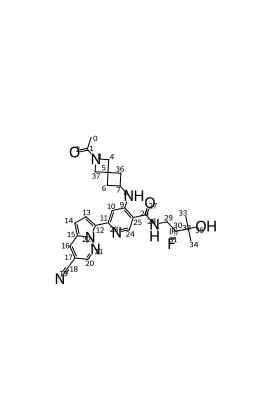 CC(=O)N1CC2(CC(Nc3cc(-c4ccc5cc(C#N)cnn45)ncc3C(=O)NC[C@@H](F)C(C)(C)O)C2)C1